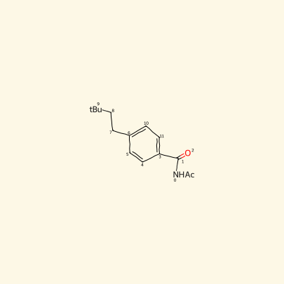 CC(=O)NC(=O)c1ccc(CCC(C)(C)C)cc1